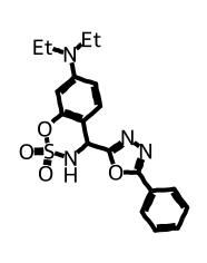 CCN(CC)c1ccc2c(c1)OS(=O)(=O)NC2c1nnc(-c2ccccc2)o1